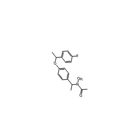 CC(=O)N(O)C(C)c1ccc(OC(C)c2ccc(F)cc2)cc1